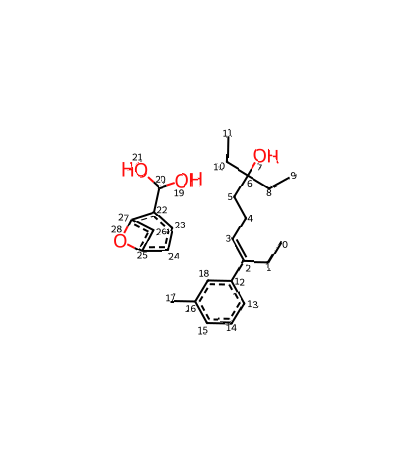 CCC(=CCCC(O)(CC)CC)c1cccc(C)c1.OC(O)c1ccc2cc1O2